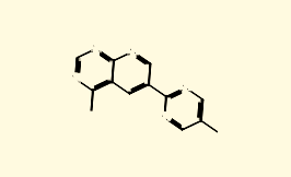 Cc1cnc(-c2cnc3ncnc(C)c3c2)nc1